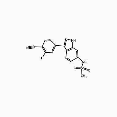 CS(=O)(=O)Nc1ccc2c(-c3ccc(C#N)c(F)c3)c[nH]c2c1